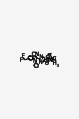 C[C@H](NS(=O)(=O)c1cnc(-c2c(C#N)c3ccc(CC(F)F)cc3n2C2CCCC2)nc1)C1CC1